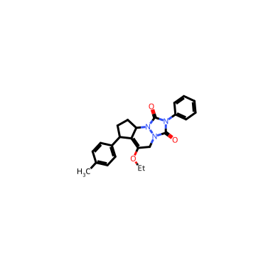 CCOC1=C2C(c3ccc(C)cc3)CCC2n2c(=O)n(-c3ccccc3)c(=O)n2C1